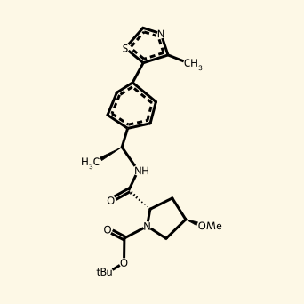 CO[C@@H]1C[C@@H](C(=O)N[C@@H](C)c2ccc(-c3scnc3C)cc2)N(C(=O)OC(C)(C)C)C1